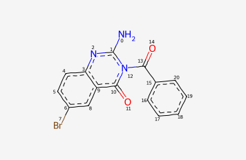 Nc1nc2ccc(Br)cc2c(=O)n1C(=O)c1ccccc1